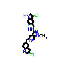 Cn1nc(NCc2cc3c(Cl)c[nH]c3cc2F)c2cc(Cc3ccc4ncc(Cl)cc4c3)ncc21